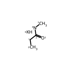 CCC(=O)[N]C.[KH]